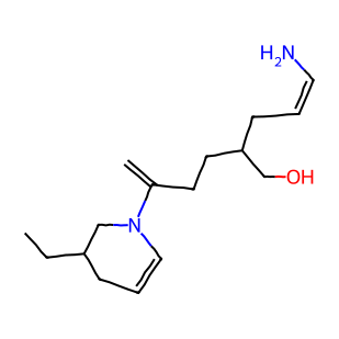 C=C(CCC(CO)C/C=C\N)N1C=CCC(CC)C1